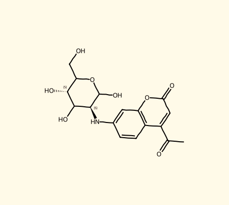 CC(=O)c1cc(=O)oc2cc(N[C@@H]3C(O)OC(CO)[C@@H](O)C3O)ccc12